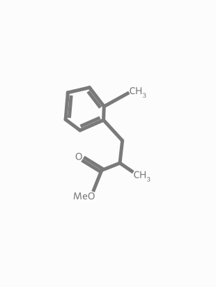 COC(=O)C(C)Cc1ccccc1C